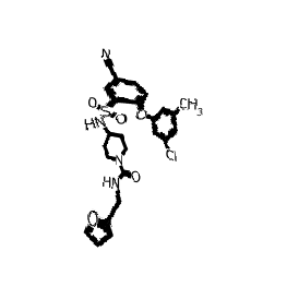 Cc1cc(Cl)cc(Oc2ccc(C#N)cc2S(=O)(=O)NC2CCN(C(=O)NCc3ccco3)CC2)c1